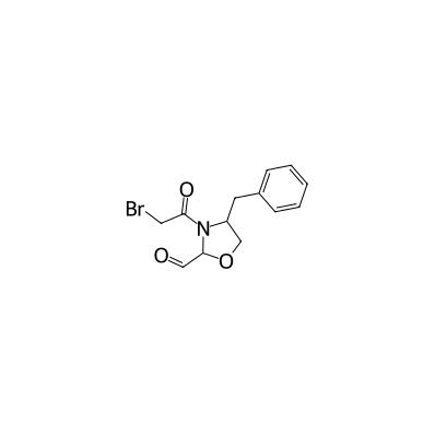 O=CC1OCC(Cc2ccccc2)N1C(=O)CBr